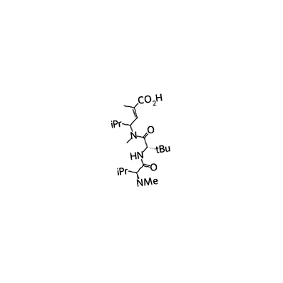 CN[C@H](C(=O)N[C@H](C(=O)N(C)C(/C=C(\C)C(=O)O)C(C)C)C(C)(C)C)C(C)C